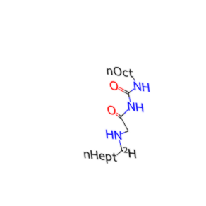 [2H][C@@H](CCCCCCC)NCC(=O)NC(=O)NCCCCCCCC